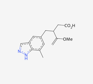 C=C(OC)C(CC(=O)O)Cc1cc(C)c2[nH]ncc2c1